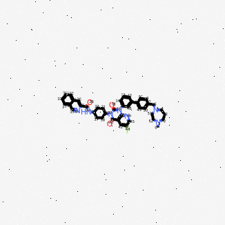 CN1CCCN(Cc2ccc(-c3cccc(-n4c(=O)n(C5CCC(NC(=O)c6cc7ccccc7cn6)CC5)c(=O)c5cc(F)cnc54)c3)cc2)CC1